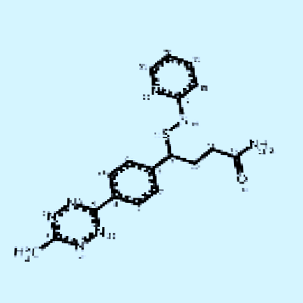 Cc1nnc(-c2ccc([C](CCC(N)=O)SSc3ccccn3)cc2)nn1